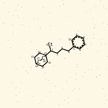 CCC(CCCc1ccccc1)C12CCC(CC1)CC2